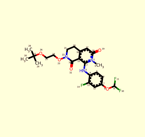 Cn1c(Nc2ccc(OC(F)F)cc2F)c2c(cc1=O)CCN(OCCOC(C)(C)C)C2=O